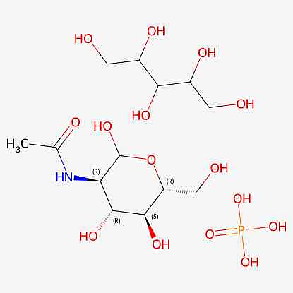 CC(=O)N[C@H]1C(O)O[C@H](CO)[C@@H](O)[C@@H]1O.O=P(O)(O)O.OCC(O)C(O)C(O)CO